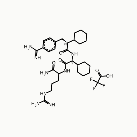 N=C(N)NCCCC(NC(=O)[C@@H](NC(=O)[C@@H](Cc1ccc(C(=N)N)cc1)C1CCCCC1)C1CCCCC1)C(N)=O.O=C(O)C(F)(F)F